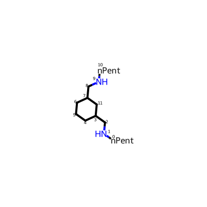 CCCCCNCC1CCCC(CNCCCCC)C1